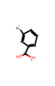 CC(=O)c1cccc(C(O)O)c1